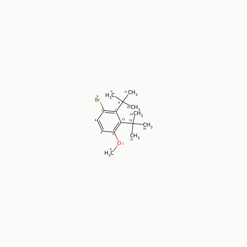 COc1ccc(Br)c(C(C)(C)C)c1C(C)(C)C